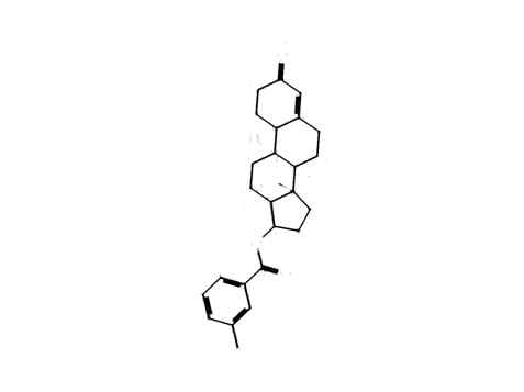 Cc1cccc(C(=O)OC2CC[C@H]3[C@@H]4CCC5=CC(=O)CC[C@]5(C)[C@@H]4CC[C@]23C)c1